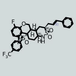 O=S1(=O)N[C@@H]2CC[C@@]3(S(=O)(=O)c4ccc(C(F)(F)F)cc4)c4c(F)ccc(F)c4OC[C@H]3[C@@H]2C[C@H]1C/C=C/c1ccccc1